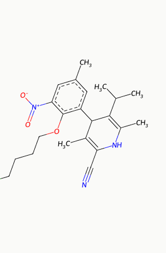 CC1=C(C(C)C)C(c2cc(C)cc([N+](=O)[O-])c2OCCCCBr)C(C)=C(C#N)N1